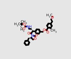 COCCc1ccc(C(=O)OCc2ccc([C@@H](CCNC(=O)OC(C)(C)C)C(=O)N3C(=O)OC[C@H]3Cc3ccccc3)cc2)c(C)c1